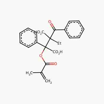 C=C(C)C(=O)OC(C(=O)O)(c1ccccc1)C(CC)(C(=O)O)C(=O)c1ccccc1